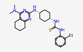 CCc1ccccc1NC(=S)N[C@H]1CC[C@@H](Nc2nc3c(c(N(C)C)n2)CCCC3)CC1